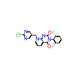 O=c1nc2n(Cc3cnc(Cl)nc3)cccc-2c(=O)n1-c1c(F)cccc1F